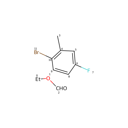 CCOC=O.Cc1cc(F)ccc1Br